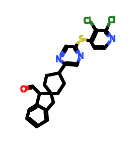 O=CC1c2ccccc2CC12CCC(c1cnc(Sc3ccnc(Cl)c3Cl)cn1)CC2